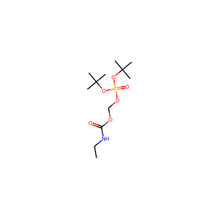 [CH2]CNC(=O)OCOP(=O)(OC(C)(C)C)OC(C)(C)C